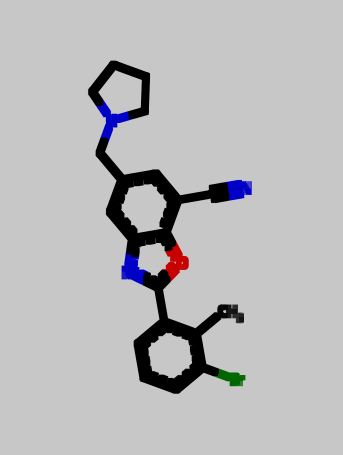 Cc1c(Br)cccc1-c1nc2cc(CN3CCCC3)cc(C#N)c2o1